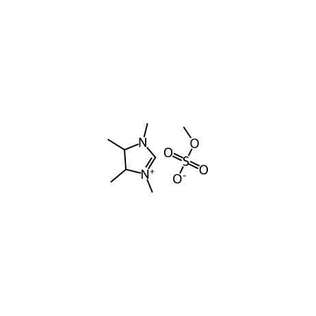 CC1C(C)[N+](C)=CN1C.COS(=O)(=O)[O-]